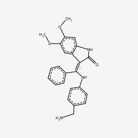 COc1cc2c(cc1OC)/C(=C(/Nc1ccc(CN)cc1)c1ccccc1)C(=O)N2